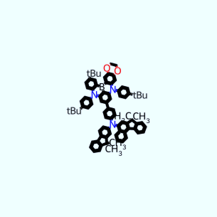 CC(C)(C)c1ccc(N2c3ccc(C(C)(C)C)cc3B3c4cc5c(cc4N(c4ccc(C(C)(C)C)cc4)c4cc(-c6ccc(N(c7ccc8c(c7)C(C)(C)c7ccccc7-8)c7cc8c(c9ccccc79)-c7ccccc7C8(C)C)cc6)cc2c43)OCCO5)cc1